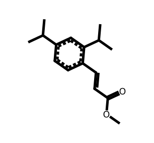 COC(=O)/C=C/c1ccc(C(C)C)cc1C(C)C